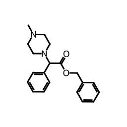 CN1CCN(C(C(=O)OCc2ccccc2)c2ccccc2)CC1